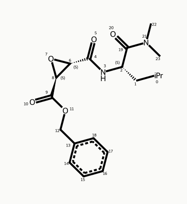 CC(C)C[C@H](NC(=O)[C@H]1O[C@@H]1C(=O)OCc1ccccc1)C(=O)N(C)C